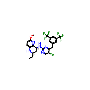 CC[C@@H]1C[C@H](Nc2ncc(Br)c(Cc3cc(C(F)(F)F)cc(C(F)(F)F)c3)n2)c2nc(OC)ccc2N1